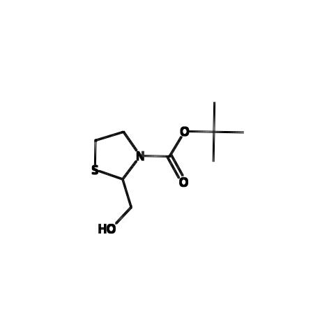 CC(C)(C)OC(=O)N1CCSC1CO